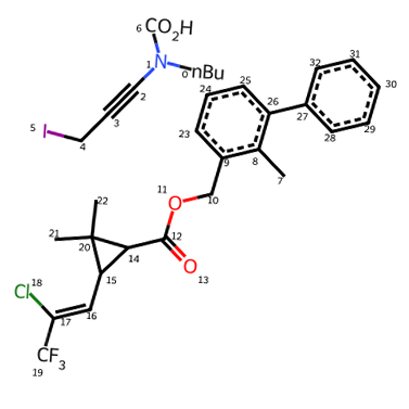 CCCCN(C#CCI)C(=O)O.Cc1c(COC(=O)C2C(/C=C(\Cl)C(F)(F)F)C2(C)C)cccc1-c1ccccc1